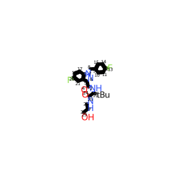 CC(C)(C)C(NC(=O)c1nn(Cc2ccc(F)cc2)c2ccc(F)cc12)C(=O)NCCCO